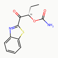 CC[C@H](OC(N)=O)C(=O)c1nc2ccccc2s1